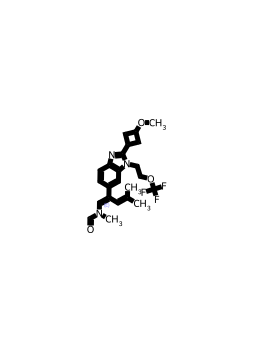 COC1CC(c2nc3ccc(/C(C=C(C)C)=C/N(C)C=O)cc3n2CCOC(F)(F)F)C1